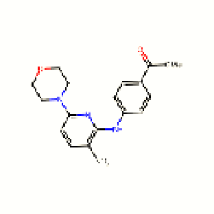 COC(=O)c1ccc(Nc2nc(N3CCOCC3)ccc2[N+](=O)[O-])cc1